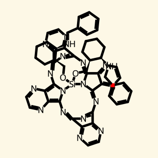 c1ccc(CN[C@@H]2CCCC[C@@H]2CO[Si]2(OC[C@H]3CCCC[C@H]3NCc3ccccc3)n3c4c5nccnc5c3/N=C3N=C(/N=c5/c6nccnc6/c(n52)=N/C2=NC(=N\4)/c4nccnc42)c2nccnc2\3)cc1